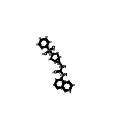 O=C(Nc1cccc2cnccc12)NC1C2CN(S(=O)(=O)c3ccccc3)CC21